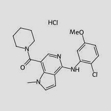 COc1ccc(Cl)c(Nc2ncc(C(=O)N3CCCCC3)c3c2ccn3C)c1.Cl